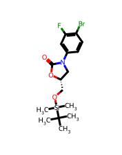 CC(C)(C)[Si](C)(C)OC[C@H]1CN(c2ccc(Br)c(F)c2)C(=O)O1